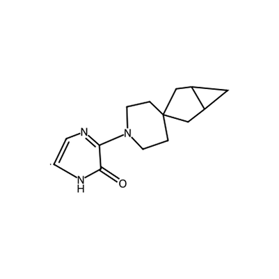 O=c1[nH][c]cnc1N1CCC2(CC1)CC1CC1C2